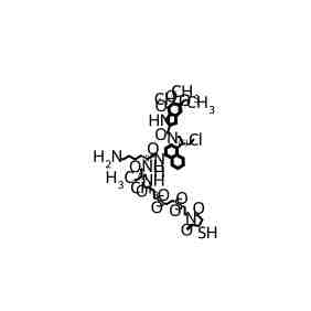 COc1cc2cc(C(=O)N3C[C@@H](CCl)c4c3cc(NC(=O)[C@H](CCCCN)NC(=O)[C@@H](NC(=O)CCS(=O)(=O)CCS(=O)(=O)CCN3C(=O)CC(S)C3=O)C(C)C)c3ccccc43)[nH]c2c(OC)c1OC